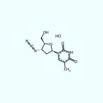 Cc1cn([C@H]2C[C@H](N=[N+]=[N-])[C@@H](CO)O2)c(=O)[nH]c1=O.Cl